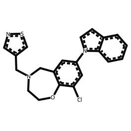 Clc1cc(-n2ccc3ccccc32)cc2c1OCCN(Cc1cnsc1)C2